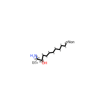 CCCCCCCCCCCCCCCCC[C@@H](O)[C@@H](N)CC